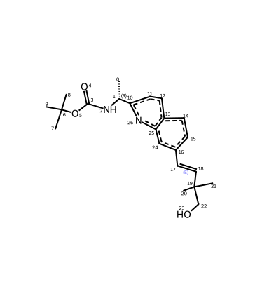 C[C@@H](NC(=O)OC(C)(C)C)c1ccc2ccc(/C=C/C(C)(C)CO)cc2n1